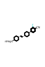 CCCCCCC[C@H]1CC[C@H](C=C[C@H]2CC[C@H](c3ccc(C#N)c(F)c3)CC2)CC1